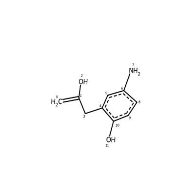 C=C(O)Cc1cc(N)ccc1O